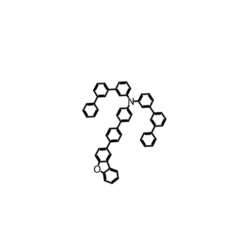 c1ccc(-c2cccc(-c3cccc(N(c4ccc(-c5ccc(-c6ccc7oc8ccccc8c7c6)cc5)cc4)c4cccc(-c5cccc(-c6ccccc6)c5)c4)c3)c2)cc1